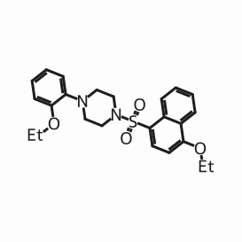 CCOc1ccccc1N1CCN(S(=O)(=O)c2ccc(OCC)c3ccccc23)CC1